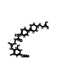 COc1cc(C)c(SN(C)CCC(=O)Nc2ccc(N3CCC(CCN(C)C)CC3)cc2)c(C)c1